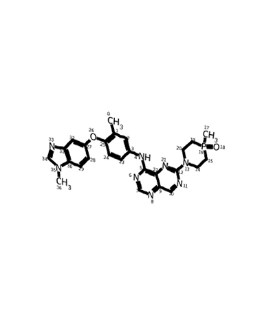 Cc1cc(Nc2ncnc3cnc(N4CCP(C)(=O)CC4)nc23)ccc1Oc1ccc2c(c1)ncn2C